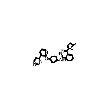 Cc1ccc(-c2nnc(Nc3ccc(Oc4ncccc4-c4ccncn4)cc3)c3ccccc23)s1